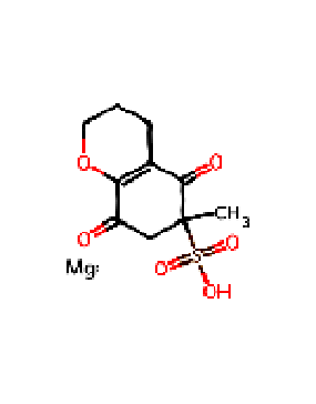 CC1(S(=O)(=O)O)CC(=O)C2=C(CCCO2)C1=O.[Mg]